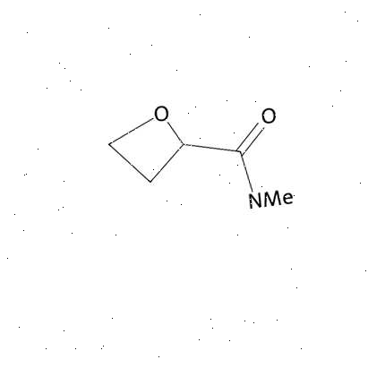 [CH2]NC(=O)C1CCO1